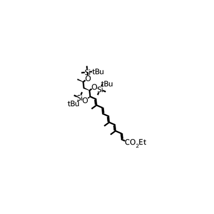 CCOC(=O)/C=C/C(C)=C/C(C)=C/C=C/C(C)=C/[C@@H](O[Si](C)(C)C(C)(C)C)[C@@H](C[C@@H](C)O[Si](C)(C)C(C)(C)C)O[Si](C)(C)C(C)(C)C